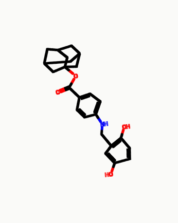 O=C(OC12CC3CC(CC(C3)C1)C2)c1ccc(NCc2cc(O)ccc2O)cc1